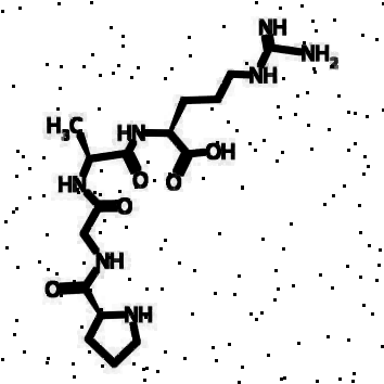 C[C@H](NC(=O)CNC(=O)[C@@H]1CCCN1)C(=O)N[C@@H](CCCNC(=N)N)C(=O)O